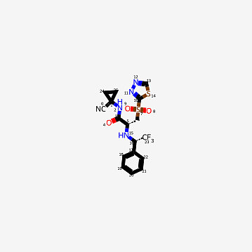 N#CC1(NC(=O)[C@H](CS(=O)(=O)c2nncs2)N[C@@H](c2ccccc2)C(F)(F)F)CC1